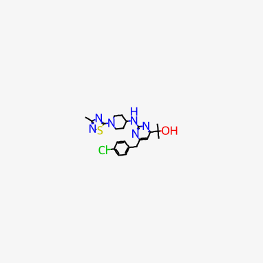 Cc1nsc(N2CCC(Nc3nc(Cc4ccc(Cl)cc4)cc(C(C)(C)O)n3)CC2)n1